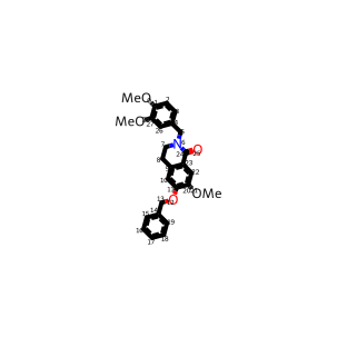 COc1ccc(CN2CCc3cc(OCc4ccccc4)c(OC)cc3C2=O)cc1OC